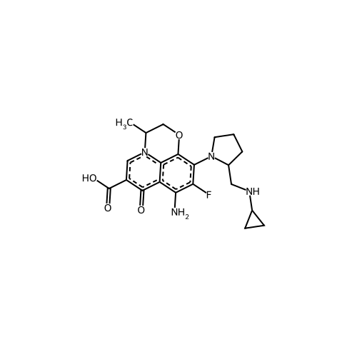 CC1COc2c(N3CCCC3CNC3CC3)c(F)c(N)c3c(=O)c(C(=O)O)cn1c23